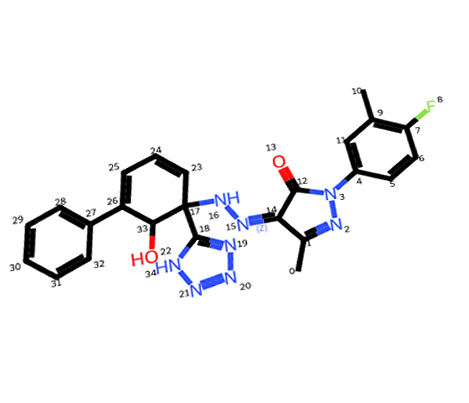 CC1=NN(c2ccc(F)c(C)c2)C(=O)/C1=N\NC1(c2nnn[nH]2)C=CC=C(c2ccccc2)C1O